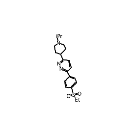 CCS(=O)(=O)c1ccc(-c2ccc(C3CCN(C(C)C)CC3)nn2)cc1